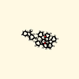 CC1(C)c2ccccc2-c2ccc(N(c3cccc(-c4ccccc4S)c3)c3cccc4oc5c(C6(c7ccccc7)c7ccccc7-c7ccccc76)cccc5c34)cc21